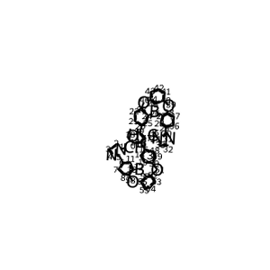 Cn1ccnc1-c1ccc2c(c1)B1c3cc(-c4coc(-c5ccc6c(c5)B5c7cc(-c8nccn8C)ccc7Oc7cccc(c75)O6)c4)ccc3Oc3cccc(c31)O2